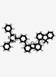 CC1(C)c2ccccc2-c2cccc(-c3cccc4c3oc3c(-c5cccc(-c6nc(-c7ccccc7)nc(-c7ccccc7)n6)c5)cccc34)c21